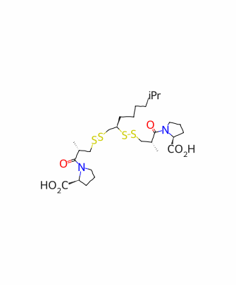 CC(C)CCCC[C@H](CSSC[C@@H](C)C(=O)N1CCC[C@H]1C(=O)O)SSC[C@@H](C)C(=O)N1CCC[C@H]1C(=O)O